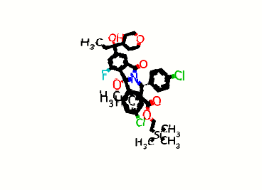 CC[C@@](O)(c1cc(F)c2c(c1)C(=O)N([C@H](c1ccc(Cl)cc1)[C@H](C)C(=O)OCC[Si](C)(C)C)[C@@]2(OC)c1ccc(Cl)cc1)C1CCOCC1